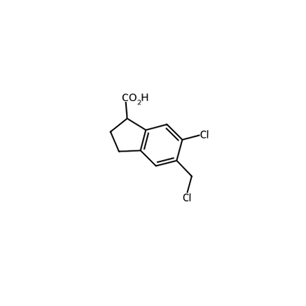 O=C(O)C1CCc2cc(CCl)c(Cl)cc21